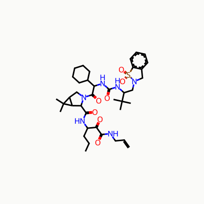 C=CCNC(=O)C(=O)C(CCC)NC(=O)C1C2C(CN1C(=O)C(NC(=O)NC(CN1Cc3ccccc3S1(=O)=O)C(C)(C)C)C1CCCCC1)C2(C)C